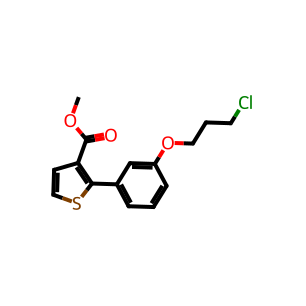 COC(=O)c1ccsc1-c1cccc(OCCCCl)c1